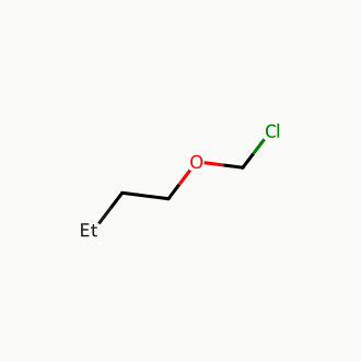 [CH2]CCCOCCl